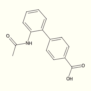 CC(=O)Nc1ccccc1-c1ccc(C(=O)O)cc1